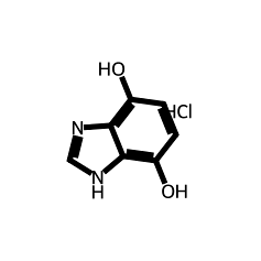 Cl.Oc1ccc(O)c2[nH]cnc12